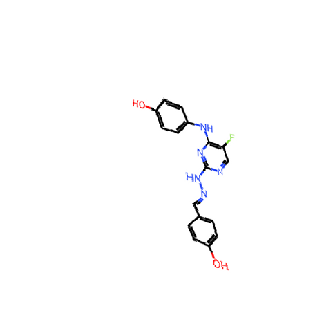 Oc1ccc(/C=N/Nc2ncc(F)c(Nc3ccc(O)cc3)n2)cc1